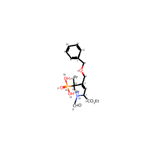 CCOC(=O)C(C=C(COCc1ccccc1)C(C(C)C)(C(C)C)P(=O)(O)O)NC=O